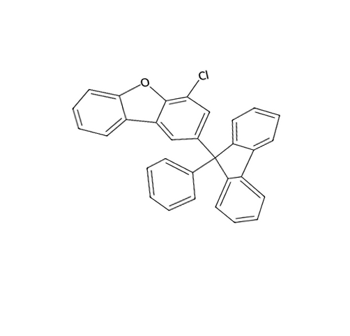 Clc1cc(C2(c3ccccc3)c3ccccc3-c3ccccc32)cc2c1oc1ccccc12